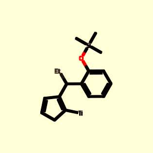 CCC(C1=[C]([Ti])CC=C1)c1ccccc1O[Si](C)(C)C